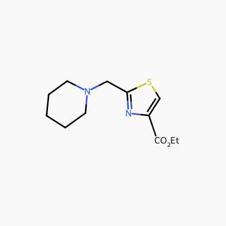 CCOC(=O)c1csc(CN2CCCCC2)n1